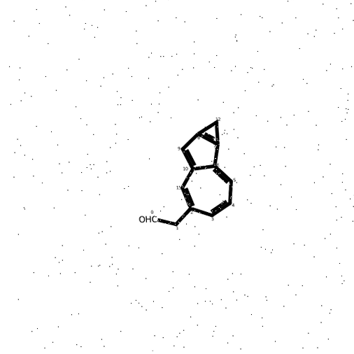 O=CCc1cccc2c3c(cc-2c1)C3